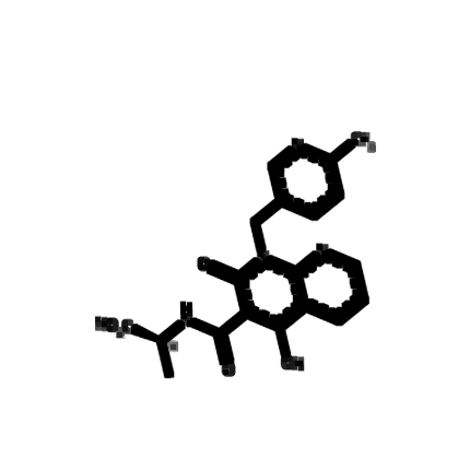 C[C@H](NC(=O)c1c(O)c2cccnc2n(Cc2ccc(C(F)(F)F)nc2)c1=O)C(=O)O